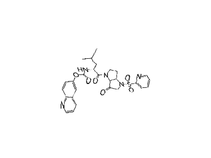 CC(C)CC(NC(=O)Oc1ccc2ncccc2c1)C(=O)N1CCC2C1C(=O)CN2S(=O)(=O)c1ccccn1